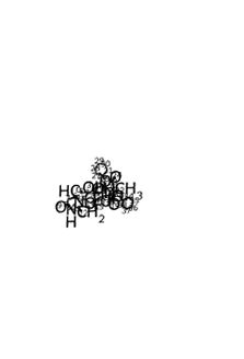 C#C[C@]1(O)[C@H](N2C=CC(=O)NC2=C)O[C@](F)(COP(=O)(NC(C)C(=O)OC2CCCCC2)Oc2ccccc2)[C@H]1O